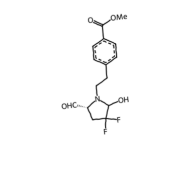 COC(=O)c1ccc(CCN2C(O)C(F)(F)C[C@@H]2C=O)cc1